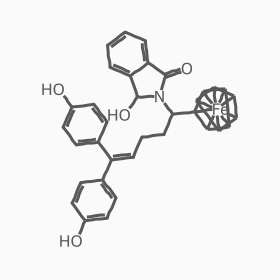 O=C1c2ccccc2C(O)N1C(CCC=C(c1ccc(O)cc1)c1ccc(O)cc1)[C]12[CH]3[CH]4[CH]5[CH]1[Fe]45321678[CH]2[CH]1[CH]6[CH]7[CH]28